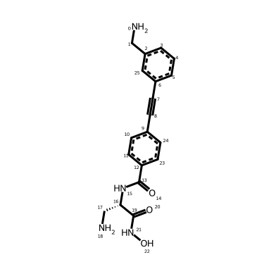 NCc1cccc(C#Cc2ccc(C(=O)N[C@@H](CN)C(=O)NO)cc2)c1